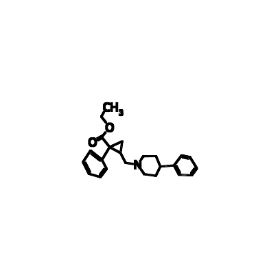 CCOC(=O)C1(c2ccccc2)CC1CN1CCC(c2ccccc2)CC1